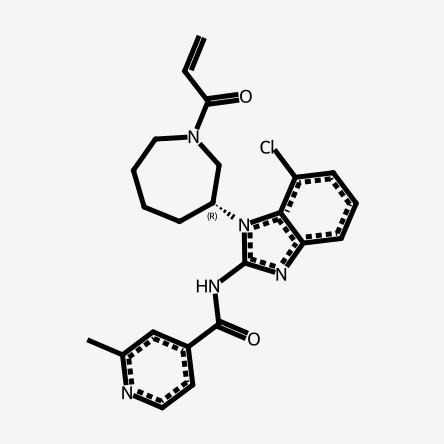 C=CC(=O)N1CCCC[C@@H](n2c(NC(=O)c3ccnc(C)c3)nc3cccc(Cl)c32)C1